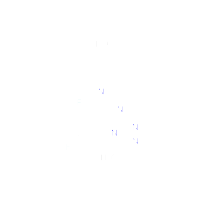 Cc1cccc2c1CCCN2c1nc2nnc(C)n2c2cc(F)cc(F)c12